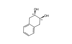 O[C@@H]1Cc2ccccc2C[C@@H]1O